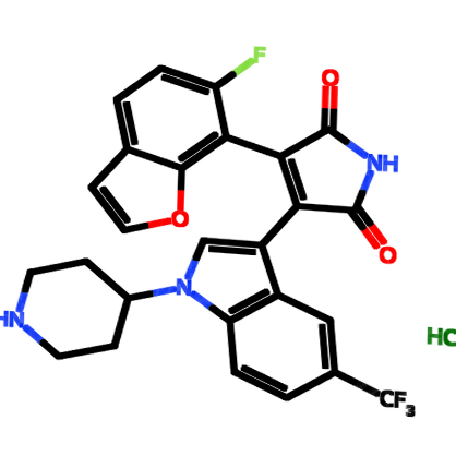 Cl.O=C1NC(=O)C(c2c(F)ccc3ccoc23)=C1c1cn(C2CCNCC2)c2ccc(C(F)(F)F)cc12